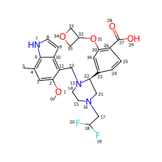 COc1cc(C)c2[nH]ccc2c1CN1CCN(CC(F)F)C[C@@H]1c1ccc(C(=O)O)c(OC2COC2)c1